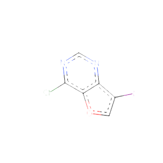 Clc1ncnc2c(I)coc12